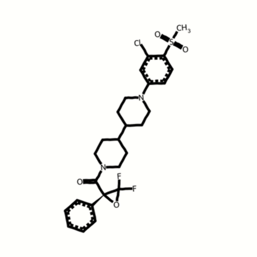 CS(=O)(=O)c1ccc(N2CCC(C3CCN(C(=O)[C@@]4(c5ccccc5)OC4(F)F)CC3)CC2)cc1Cl